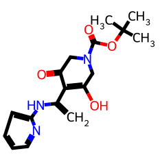 C=C(Nc1ccccn1)C1=C(O)CN(C(=O)OC(C)(C)C)CC1=O